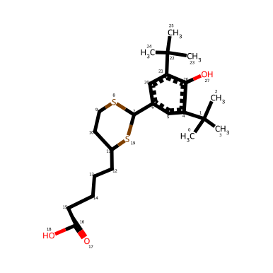 CC(C)(C)c1cc(C2SCCC(CCCCC(=O)O)S2)cc(C(C)(C)C)c1O